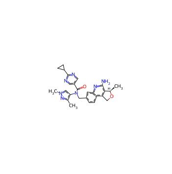 Cc1nn(C)cc1N(Cc1ccc2c3c(c(N)nc2c1)[C@@H](C)OC3)C(=O)c1cnc(C2CC2)nc1